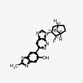 Cc1nc2cc(O)c(-c3cc4ncn([C@H]5C[C@@H]6CC[C@@H](N6)[C@H]5F)c4nn3)cc2s1